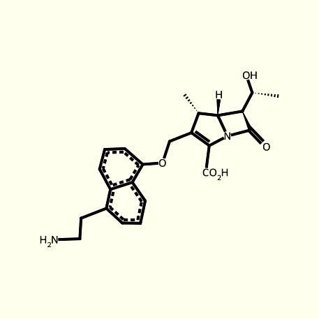 C[C@@H](O)[C@H]1C(=O)N2C(C(=O)O)=C(COc3cccc4c(CCN)cccc34)[C@H](C)[C@H]12